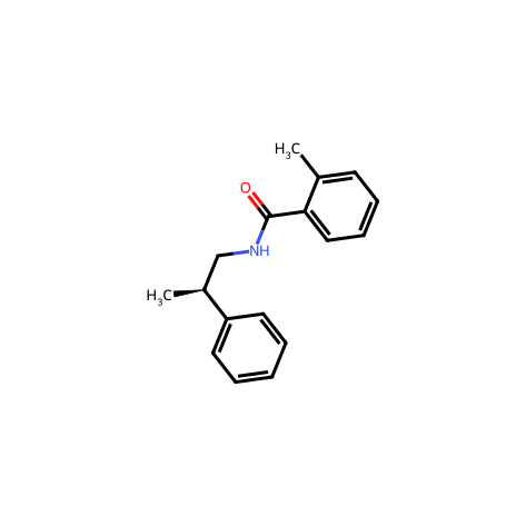 Cc1ccccc1C(=O)NC[C@H](C)c1ccccc1